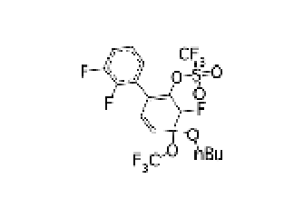 CCCCOC1(OC(F)(F)F)C=CC(c2cccc(F)c2F)=C(OS(=O)(=O)C(F)(F)F)C1F